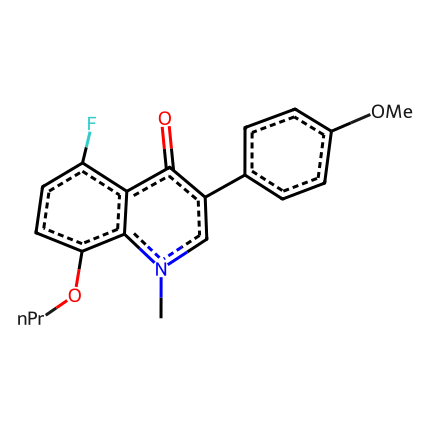 CCCOc1ccc(F)c2c(=O)c(-c3ccc(OC)cc3)cn(C)c12